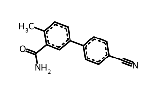 Cc1ccc(-c2ccc(C#N)cc2)cc1C(N)=O